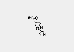 CC(C)C(=O)Cc1ccc2nc(-c3cccnc3)oc2c1